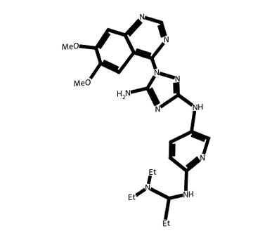 CCC(Nc1ccc(Nc2nc(N)n(-c3ncnc4cc(OC)c(OC)cc34)n2)cn1)N(CC)CC